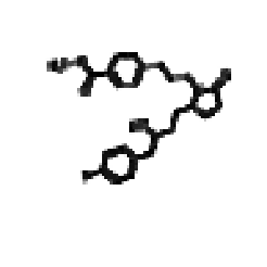 COC(=O)c1ccc(CCCN2C(=O)CCC2CCC(O)Cc2ccc(F)cc2)cc1